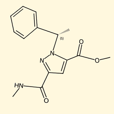 CNC(=O)c1cc(C(=O)OC)n([C@@H](C)c2ccccc2)n1